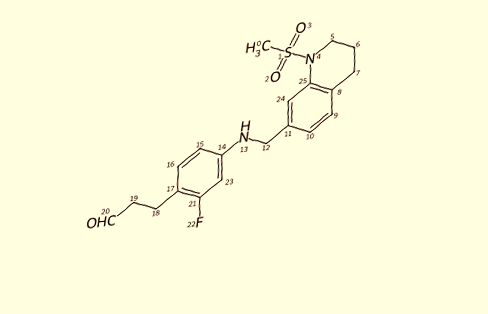 CS(=O)(=O)N1CCCc2ccc(CNc3ccc(CCC=O)c(F)c3)cc21